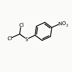 O=[N+]([O-])c1ccc(SC(Cl)Cl)cc1